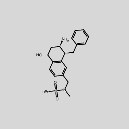 CCCS(=O)(=O)N(C)Cc1ccc2c(c1)[C@H](Cc1ccccc1)[C@H](N)CC2.Cl